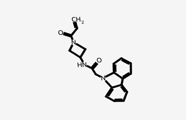 C=CC(=O)N1CC(NC(=O)Cn2c3ccccc3c3ccccc32)C1